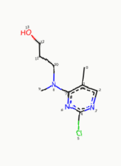 Cc1cnc(Cl)nc1N(C)CCCO